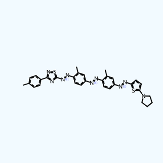 Cc1ccc(-c2nsc(/N=N/c3ccc(/N=N/c4ccc(/N=N/c5ccc(N6CCCC6)s5)cc4C)cc3C)n2)cc1